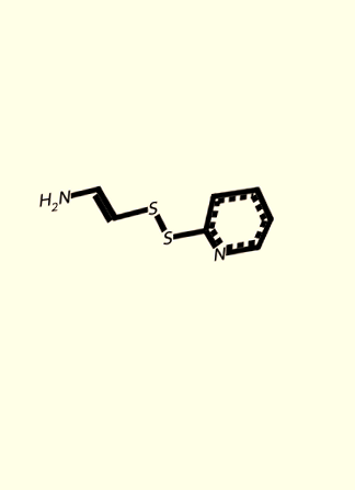 NC=CSSc1ccccn1